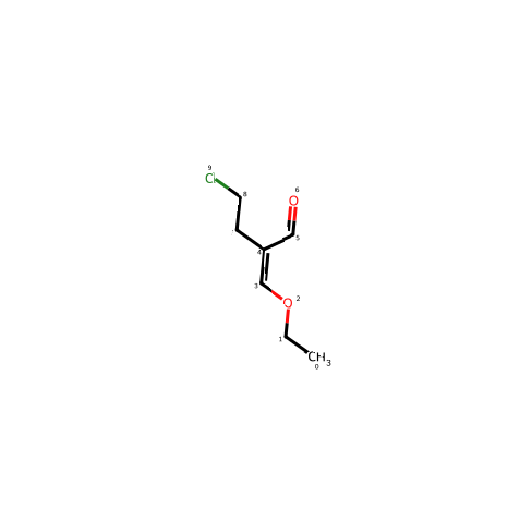 CCOC=C(C=O)CCCl